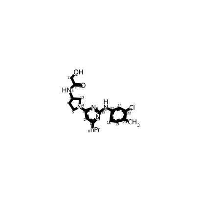 CCCc1cc(N2CCC(NC(=O)CO)C2)nc(Nc2ccc(C)c(Cl)c2)n1